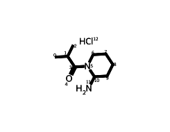 CC(C)C(=O)N1CCCCC1N.Cl